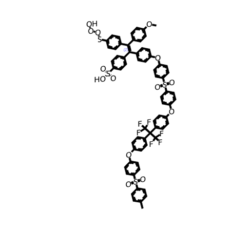 COc1ccc(/C(=C(\c2ccc(Oc3ccc(S(=O)(=O)c4ccc(Oc5ccc(C(c6ccc(Oc7ccc(S(=O)(=O)c8ccc(C)cc8)cc7)cc6)(C(F)(F)F)C(F)(F)F)cc5)cc4)cc3)cc2)c2ccc(S(=O)(=O)O)cc2)c2ccc(SOOO)cc2)cc1